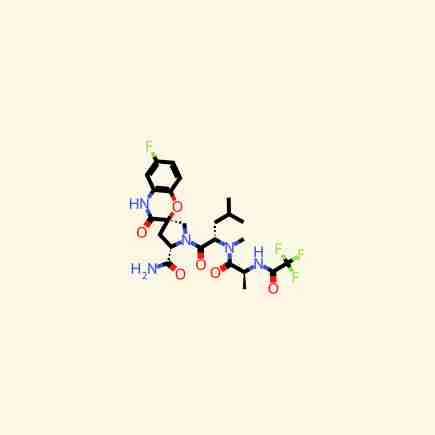 CC(C)C[C@@H](C(=O)N1C[C@@]2(C[C@H]1C(N)=O)Oc1ccc(F)cc1NC2=O)N(C)C(=O)[C@H](C)NC(=O)C(F)(F)F